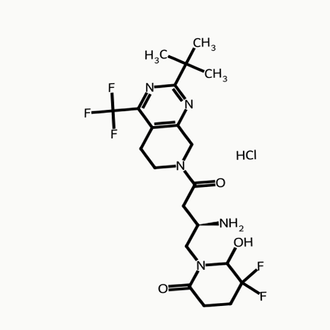 CC(C)(C)c1nc2c(c(C(F)(F)F)n1)CCN(C(=O)C[C@@H](N)CN1C(=O)CCC(F)(F)C1O)C2.Cl